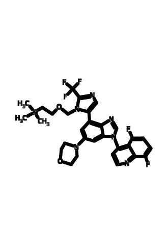 C[Si](C)(C)CCOCn1c(-c2cc(N3CCOCC3)cc3c2ncn3-c2ccnc3c(F)ccc(F)c23)cnc1C(F)(F)F